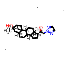 COC[C@]12CC[C@@](C)(O)C[C@H]1CC[C@H]1[C@@H]3CC[C@H](C(=O)Cn4nccn4)[C@@]3(C)CC[C@@H]12